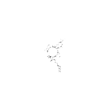 CCC1OC(=O)[C@@](C)(F)C(=O)C(C)[C@@H](OC2CC(N(C)C)CC(C)O2)C(C)C[C@@H](C)C(=O)[C@H](C)C2N(CCCCN=[N+]=[N-])C(=O)O[C@]12C